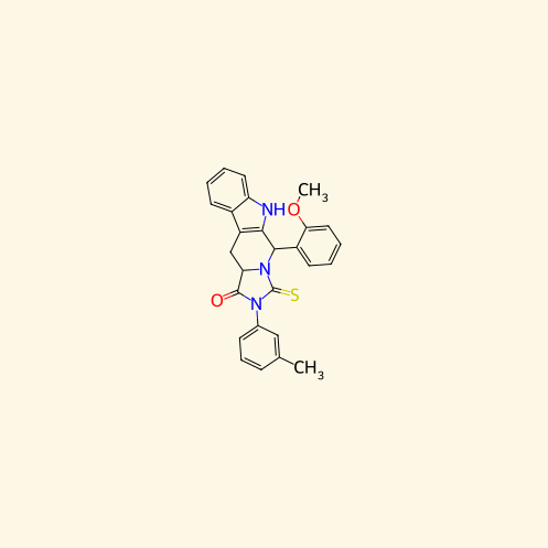 COc1ccccc1C1c2[nH]c3ccccc3c2CC2C(=O)N(c3cccc(C)c3)C(=S)N21